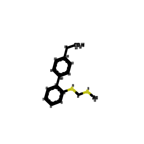 CC(=O)SCSc1ccccc1-c1ccc(CC(=O)O)cc1